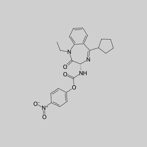 CCN1C(=O)[C@@H](NC(=O)Oc2ccc([N+](=O)[O-])cc2)N=C(C2CCCC2)c2ccccc21